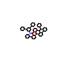 c1ccc(-c2cc(-c3ccccc3)cc(N(c3ccc(-c4cccc5c4c(-c4ccccc4)c(-c4ccccc4)c4ccccc45)cc3)c3ccccc3-c3ccccc3)c2)cc1